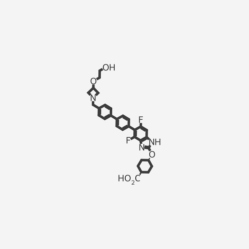 O=C(O)[C@H]1CC[C@H](Oc2nc3c(F)c(-c4ccc(-c5ccc(CN6CC(OCCO)C6)cc5)cc4)c(F)cc3[nH]2)CC1